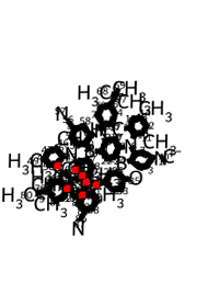 [C-]#[N+]c1cc2c3c(c1)N(c1c(C)cc(C)cc1C)c1cc4c(cc1B3c1cc(C(C)(C)C)ccc1O2)B1c2cc3c(cc2N(c2c(C)cc(C)cc2C)c2cc(C#N)cc(c21)N4c1ccc(C(C)(C)C)cc1)N(c1ccc(C(C)(C)C)cc1)c1cc(C#N)cc2c1B3c1cc(C(C)(C)C)ccc1O2